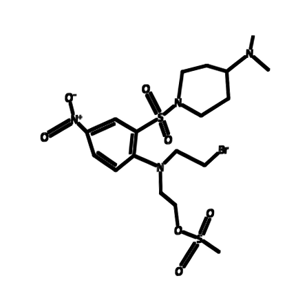 CN(C)C1CCN(S(=O)(=O)c2cc([N+](=O)[O-])ccc2N(CCBr)CCOS(C)(=O)=O)CC1